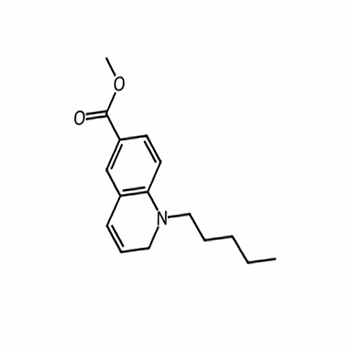 CCCCCN1CC=Cc2cc(C(=O)OC)ccc21